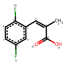 CC(=Cc1cc(F)ccc1F)C(=O)O